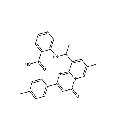 Cc1ccc(-c2cc(=O)n3cc(C)cc(C(C)Nc4ccccc4C(=O)O)c3n2)cc1